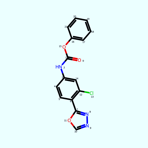 O=C(Nc1ccc(-c2nnco2)c(Cl)c1)Oc1ccccc1